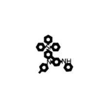 Cc1ccc(-n2c3ccc(Nc4ccccc4)cc3c3cc([Si](c4ccccc4)(c4ccccc4)c4ccccc4)ccc32)cc1